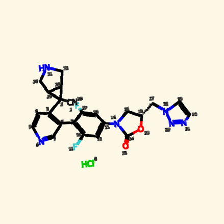 Cl.N#CC1(c2ccncc2-c2c(F)cc(N3C[C@H](Cn4ccnn4)OC3=O)cc2F)C2CNCC21